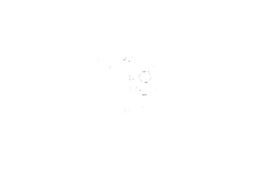 CN(c1cc(Br)cc(Br)c1NC(=O)OC(C)(C)C)C(CCC(=O)O)O[N+](=O)[O-]